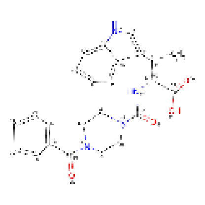 C[C@@H](c1c[nH]c2ccccc12)[C@@H](NC(=O)N1CCN(C(=O)c2ccccc2)CC1)C(=O)O